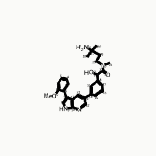 COc1ccccc1-c1c[nH]c2ncc(-c3cccc(C(O)C(=O)N(C)CCC(C)(C)N)c3)cc12